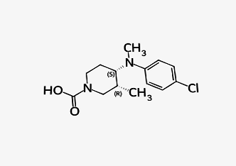 C[C@@H]1CN(C(=O)O)CC[C@@H]1N(C)c1ccc(Cl)cc1